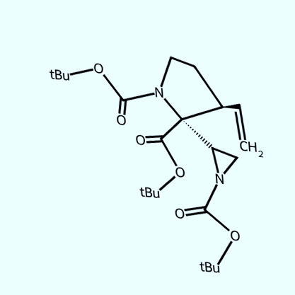 C=C[C@@H]1CCN(C(=O)OC(C)(C)C)[C@@]1(C(=O)OC(C)(C)C)C1CN1C(=O)OC(C)(C)C